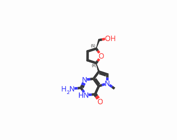 Cn1cc([C@H]2CC[C@@H](CO)O2)c2nc(N)[nH]c(=O)c21